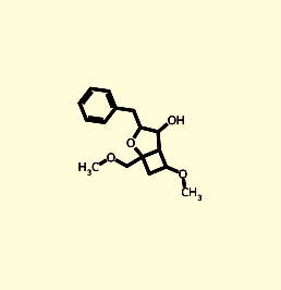 COCC12CC(OC)C1C(O)C(Cc1ccccc1)O2